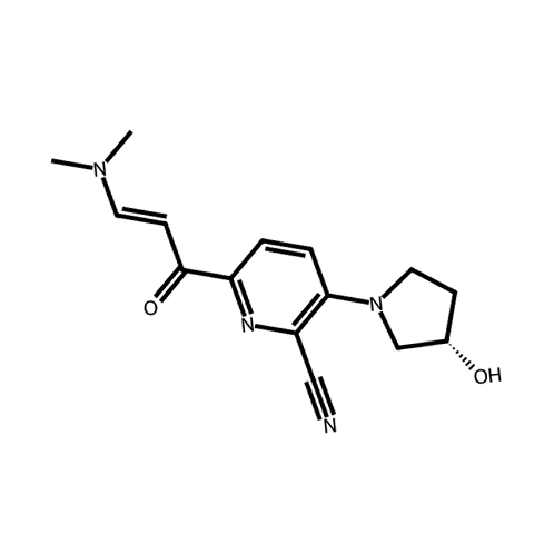 CN(C)C=CC(=O)c1ccc(N2CC[C@H](O)C2)c(C#N)n1